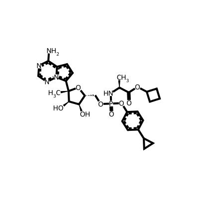 C[C@H](NP(=O)(OC[C@H]1O[C@@](C)(c2ccc3c(N)ncnn23)[C@H](O)[C@@H]1O)Oc1ccc(C2CC2)cc1)C(=O)OC1CCC1